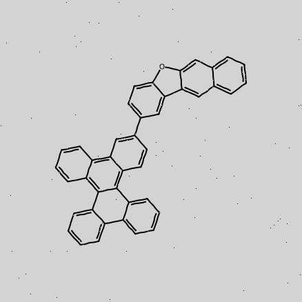 c1ccc2cc3c(cc2c1)oc1ccc(-c2ccc4c(c2)c2ccccc2c2c5ccccc5c5ccccc5c42)cc13